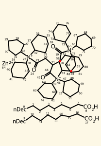 CCCCCCCCCCCCCCCCCC(=O)O.CCCCCCCCCCCCCCCCCC(=O)O.O=C(CC(CC(=O)[N+](C1CCCCC1)(C1CCCCC1)C1CCCCC1)C(=O)[N+](C1CCCCC1)(C1CCCCC1)C1CCCCC1)[N+](C1CCCCC1)(C1CCCCC1)C1CCCCC1.[Zn+2]